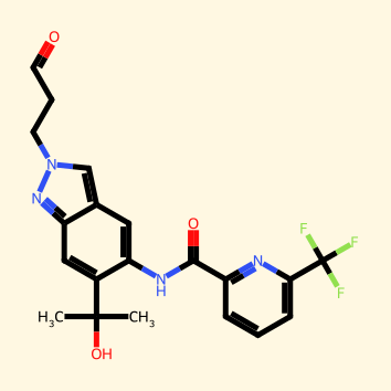 CC(C)(O)c1cc2nn(CCC=O)cc2cc1NC(=O)c1cccc(C(F)(F)F)n1